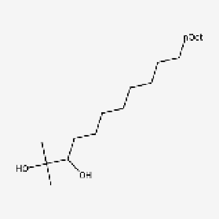 CCCCCCCCCCCCCCCCC(O)C(C)(C)O